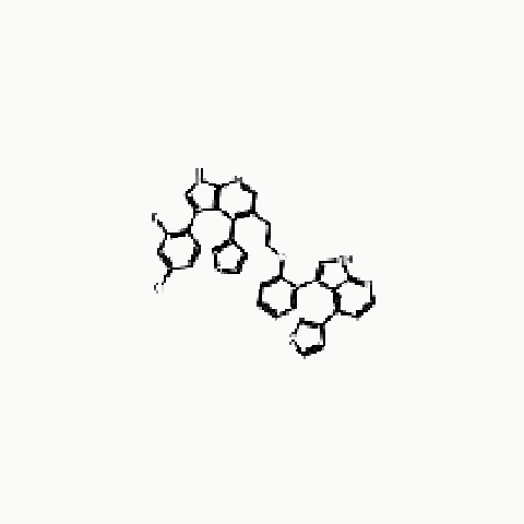 Fc1cc(Cl)ccc1-c1c[nH]c2ncc(CCOc3ccccc3-c3c[nH]c4nccc(-c5ccsc5)c34)c(-c3ccsc3)c12